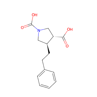 O=C(O)[C@H]1CN(C(=O)O)C[C@@H]1CCc1ccccc1